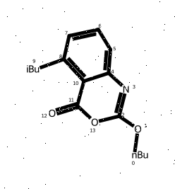 CCCCOc1nc2cccc(C(C)CC)c2c(=O)o1